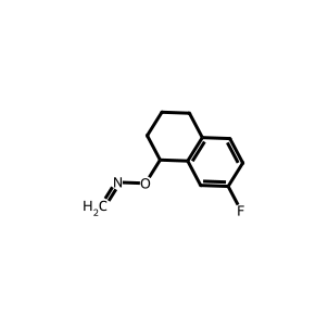 C=NOC1CCCc2ccc(F)cc21